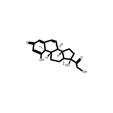 C[C@]12C(O)=CC(=O)C=C1C=C[C@@H]1[C@@H]2CC[C@@]2(C)[C@H]1CC[C@]2(O)C(=O)CO